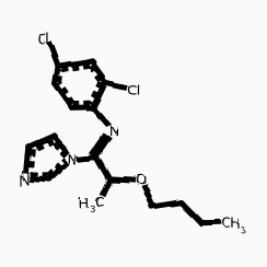 CCCCOC(C)C(=Nc1ccc(Cl)cc1Cl)n1ccnc1